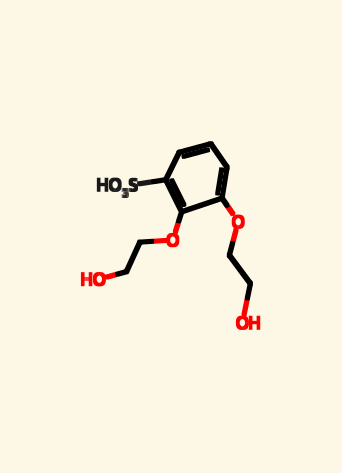 O=S(=O)(O)c1cccc(OCCO)c1OCCO